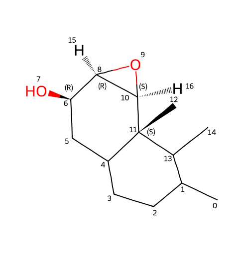 CC1CCC2C[C@@H](O)[C@H]3O[C@H]3[C@]2(C)C1C